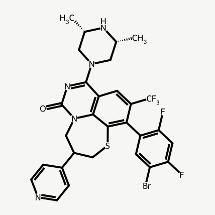 C[C@@H]1CN(c2nc(=O)n3c4c(c(-c5cc(Br)c(F)cc5F)c(C(F)(F)F)cc24)SCC(c2ccncc2)C3)C[C@H](C)N1